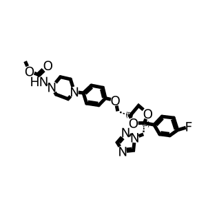 COC(=O)NN1CCN(c2ccc(OC[C@@H]3CO[C@@](Cn4cncn4)(c4ccc(F)cc4)O3)cc2)CC1